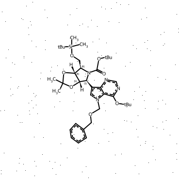 CC(C)(C)OC(=O)N1[C@H](CO[Si](C)(C)C(C)(C)C)[C@H]2OC(C)(C)O[C@H]2[C@@H]1c1cn(COCc2ccccc2)c2c(OC(C)(C)C)ncnc12